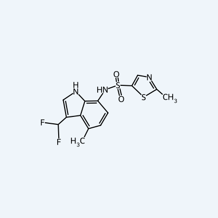 Cc1ncc(S(=O)(=O)Nc2ccc(C)c3c(C(F)F)c[nH]c23)s1